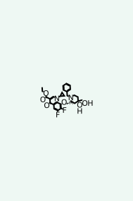 CCOC(=O)c1cn(C2CC2)c2c(OC[C@H]3CC(O)(CO)CCN3Cc3ccccc3)c(F)c(F)cc2c1=O